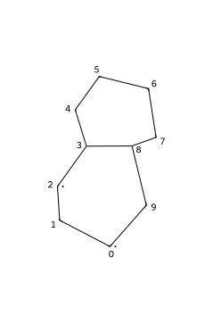 [CH]1C[CH]C2CCCCC2C1